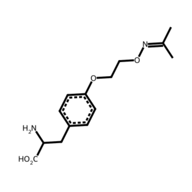 CC(C)=NOCCOc1ccc(CC(N)C(=O)O)cc1